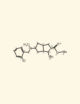 CN(Cc1ccccc1Cl)C1CC2CN(C(=O)OC(C)(C)C)C(C(C)(C)C)C2C1